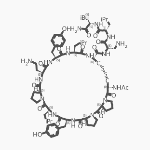 CC[C@H](C)[C@H](NC(=O)[C@H](CC(C)C)NC(=O)[C@H](CN)NC(=O)[C@@H]1CSSC[C@H](NC(C)=O)C(=O)N2CCC[C@H]2C(=O)N2CCC[C@H]2C(=O)N[C@@H](Cc2ccc(O)cc2)C(=O)N[C@@H](CC(C)C)C(=O)N2CCC[C@H]2C(=O)N[C@@H](CCN)C(=O)N[C@@H](Cc2ccc(O)cc2)C(=O)N[C@@H](CC(C)C)C(=O)N1)C(N)=O